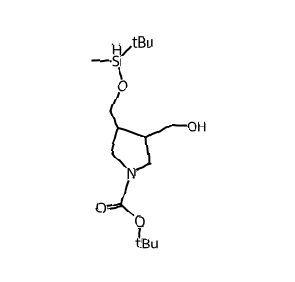 C[SiH](OCC1CN(C(=O)OC(C)(C)C)CC1CO)C(C)(C)C